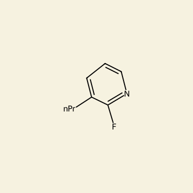 CCCc1cccnc1F